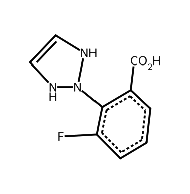 O=C(O)c1cccc(F)c1N1NC=CN1